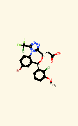 COc1cccc([C@@H]2O[C@@H](CC(=O)O)c3nnc(C(F)(F)Cl)n3-c3ccc(Br)cc32)c1Cl